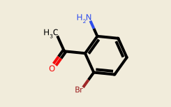 CC(=O)c1c(N)cccc1Br